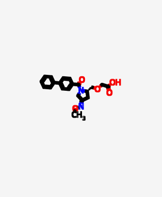 CON=C1C[C@@H](COCC(=O)O)N(C(=O)c2ccc(-c3ccccc3)cc2)C1